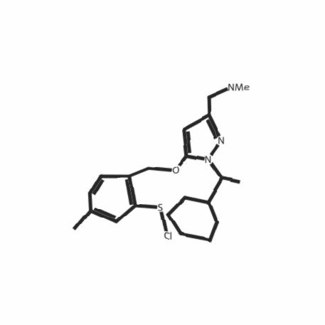 CNCc1cc(OCc2ccc(C)cc2SCl)n(C(C)C2CCCCC2)n1